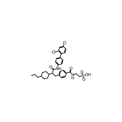 CCCC1CCC(C(Cc2ccc(C(=O)NCCS(=O)(=O)O)cc2)C(=O)Nc2ccc(-c3ccc(Cl)cc3Cl)cc2)CC1